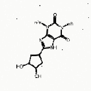 CCCn1c(=O)c2[nH]c(C3CC(O)C(O)C3)nc2n(CCC)c1=O